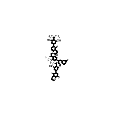 CC(C)c1c(O)cc(-c2ccc3c(ccc[n+]3CC(C)c3c(O)cc(-c4cc5cc(F)ccc5[n+](Oc5cc(-c6cc(F)c7ncccc7c6F)cc(O)c5C(C)C)c4)cc3O)c2F)cc1O